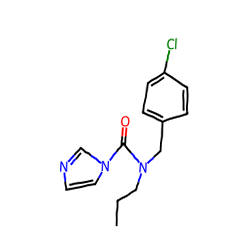 CCCN(Cc1ccc(Cl)cc1)C(=O)n1ccnc1